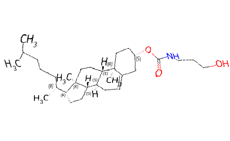 CC(C)CCC[C@@H](C)[C@H]1CC[C@H]2[C@@H]3CC=C4C[C@@H](OC(=O)NCCCO)CC[C@]4(C)[C@H]3CC[C@]12C